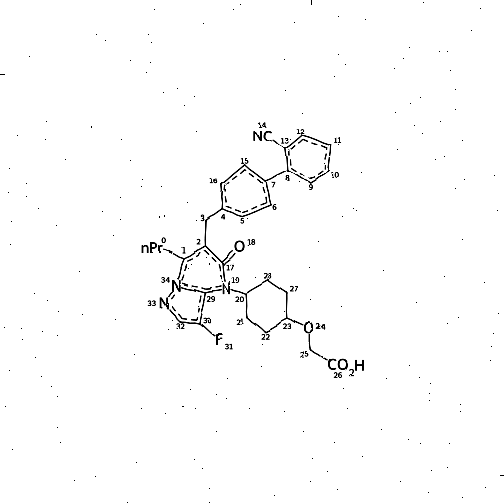 CCCc1c(Cc2ccc(-c3ccccc3C#N)cc2)c(=O)n(C2CCC(OCC(=O)O)CC2)c2c(F)cnn12